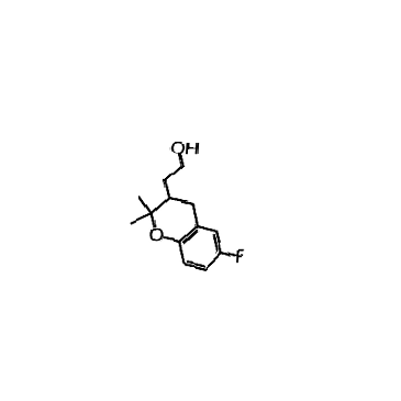 CC1(C)Oc2ccc(F)cc2CC1CCO